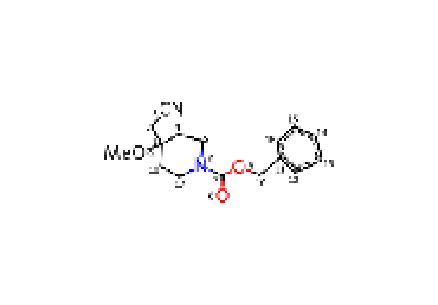 COC1(CC#N)CCN(C(=O)OCc2ccccc2)CC1